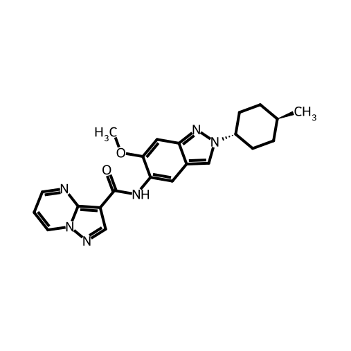 COc1cc2nn([C@H]3CC[C@H](C)CC3)cc2cc1NC(=O)c1cnn2cccnc12